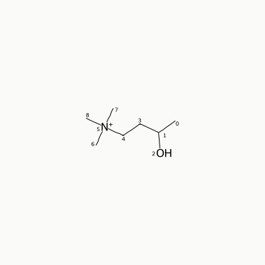 CC(O)CC[N+](C)(C)C